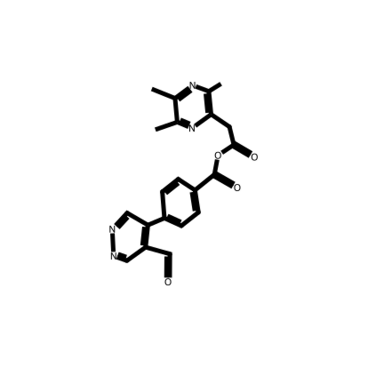 Cc1nc(C)c(CC(=O)OC(=O)c2ccc(-c3cnncc3C=O)cc2)nc1C